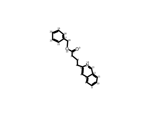 O=C(CCCc1cc2ccccc2cn1)OCc1ccccc1